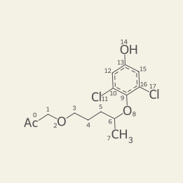 CC(=O)COCCCC(C)Oc1c(Cl)cc(O)cc1Cl